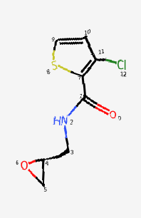 O=C(NC[C@H]1CO1)c1sccc1Cl